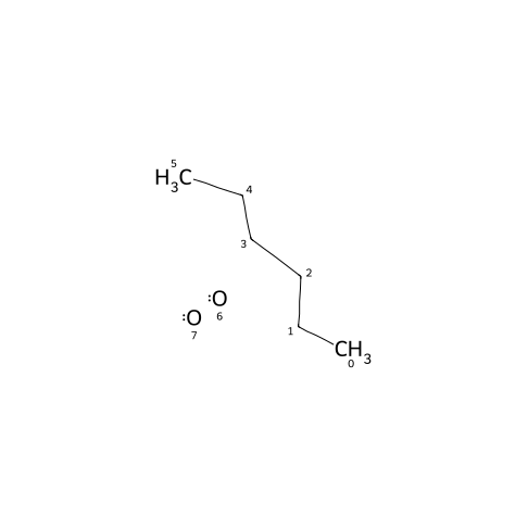 CCCCCC.[O].[O]